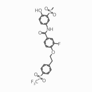 CS(=O)(=O)c1cc(NC(=O)c2ccc(OCCc3ccc(S(=O)(=O)C(F)(F)F)cc3)c(F)c2)ccc1O